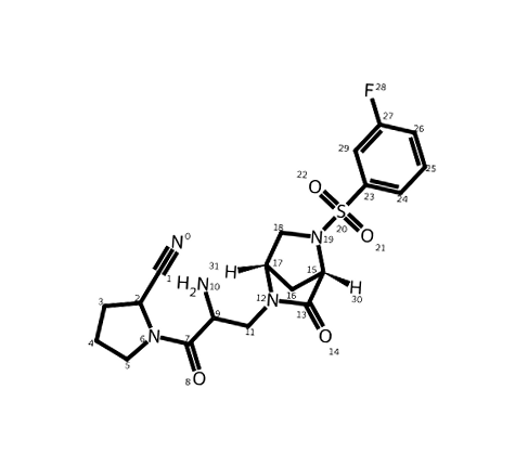 N#CC1CCCN1C(=O)C(N)CN1C(=O)[C@@H]2C[C@H]1CN2S(=O)(=O)c1cccc(F)c1